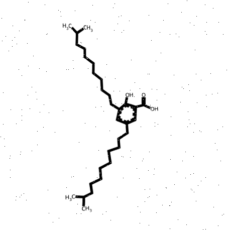 CC(C)CCCCCCCCCc1cc(CCCCCCCCCC(C)C)c(O)c(C(=O)O)c1